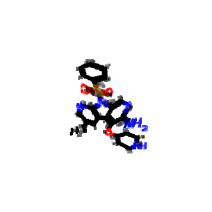 Bc1cnc2c(c1)c1c(OC3CCNCC3)c(N)ncc1n2S(=O)(=O)c1ccccc1